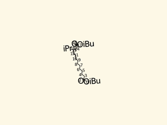 CC(C)COC(=O)CCCCCCCCCCC(CC(=O)OCC(C)C)C(C)C